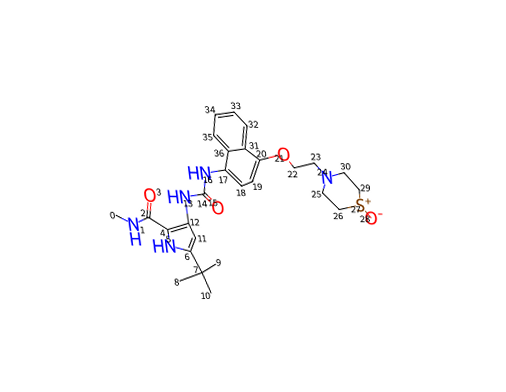 CNC(=O)c1[nH]c(C(C)(C)C)cc1NC(=O)Nc1ccc(OCCN2CC[S+]([O-])CC2)c2ccccc12